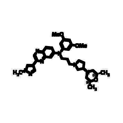 COc1cc(OC)cc(N(CCCN2CCC(N3C[C@@H](C)O[C@@H](C)C3)C2)c2ccc3ncc(-c4cnn(C)c4)nc3c2)c1